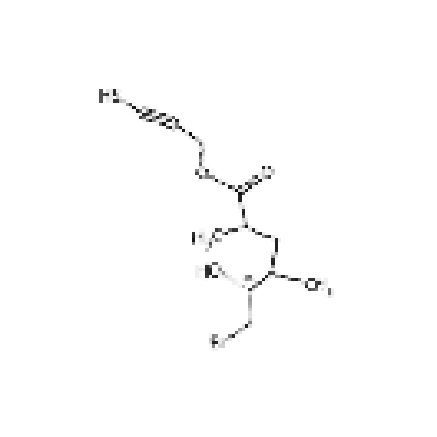 CC(CC(C)[C@@H](O)CBr)C(=O)OCC#CS